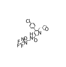 O=C(NCc1nc(C(F)(F)F)no1)c1cnc(C[C@@H]2CCOC2)c(-c2ccc(Cl)cc2)c1